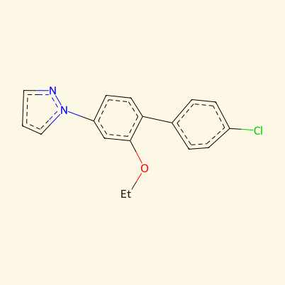 CCOc1cc(-n2cccn2)ccc1-c1ccc(Cl)cc1